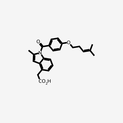 CC(C)=CCCOc1ccc(C(=O)n2c(C)cc3c(CC(=O)O)cccc32)cc1